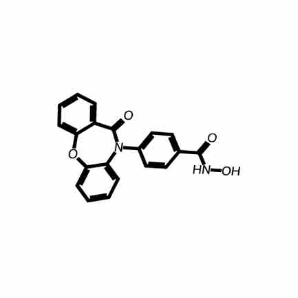 O=C(NO)c1ccc(N2C(=O)c3ccccc3Oc3ccccc32)cc1